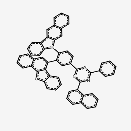 c1ccc(-c2nc(-c3ccc(-n4c5ccccc5c5cc6ccccc6cc54)c(-c4cc5ccccc5c5oc6ccccc6c45)c3)nc(-c3cccc4ccccc34)n2)cc1